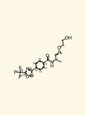 CC(/C=N/OCCO)NC(=O)c1ccc(-c2noc(C(F)(F)F)n2)cc1